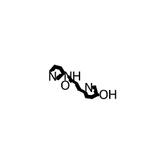 O=C(/C=C/c1ccc(O)cn1)Nc1cccnc1